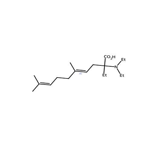 CCN(CC)C(CC)(C/C=C(\C)CCC=C(C)C)C(=O)O